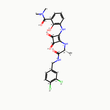 CC(C)[C@@H](Nc1c(Nc2cccc(C(=O)N(C)C)c2O)c(=O)c1=O)C(=O)NCc1ccc(Cl)c(Cl)c1